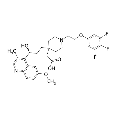 COc1ccc2ncc(C)c([C@@H](O)CCC3(CC(=O)O)CCN(CCOc4cc(F)c(F)c(F)c4)CC3)c2c1